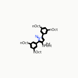 CCCCCCCCc1cc(CCCCCCCC)cc(C2=CC(CCCCC)=C(c3cc(CCCCCCCC)cc(CCCCCCCC)c3)[N+]2=[N-])c1.[Pd]